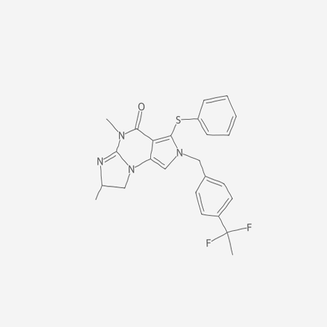 CC1CN2C(=N1)N(C)C(=O)c1c2cn(Cc2ccc(C(C)(F)F)cc2)c1Sc1ccccc1